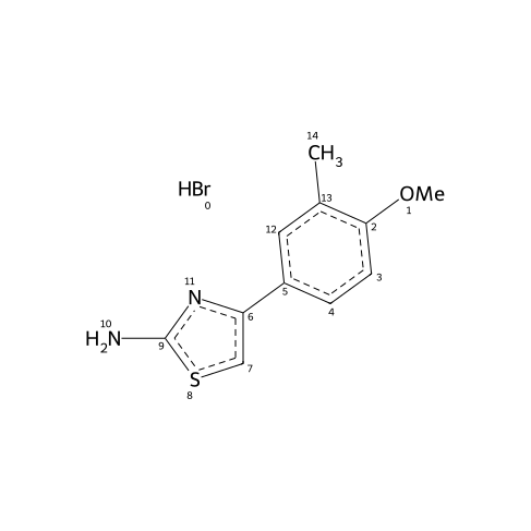 Br.COc1ccc(-c2csc(N)n2)cc1C